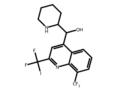 OC(c1cc(C(F)(F)I)nc2c(C(F)(F)F)cccc12)C1CCCCN1